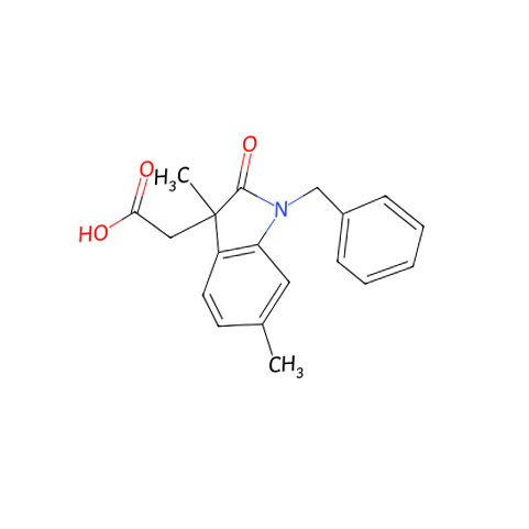 Cc1ccc2c(c1)N(Cc1ccccc1)C(=O)C2(C)CC(=O)O